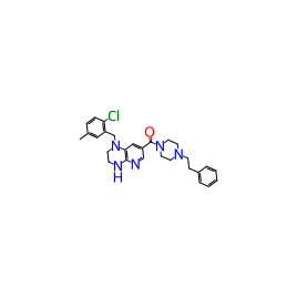 Cc1ccc(Cl)c(CN2CCNc3ncc(C(=O)N4CCN(CCc5ccccc5)CC4)cc32)c1